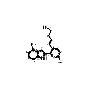 OCC/C=C/c1ccc(Cl)nc1-c1cc2c(F)cccc2[nH]1